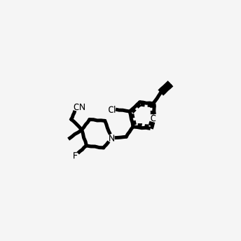 C#Cc1ccc(CN2CCC(C)(CC#N)C(F)C2)c(Cl)c1